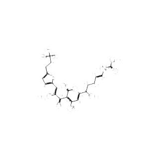 CC(=Cc1ccc(CCC(F)(F)F)s1)C(=O)c1c(O)cc(C(C)CCC=CNC(=O)O)oc1=O